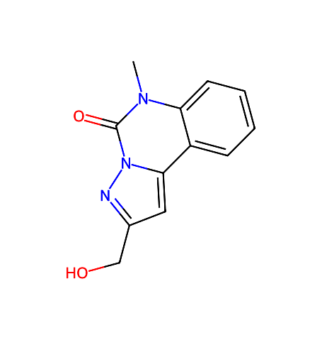 Cn1c(=O)n2nc(CO)cc2c2ccccc21